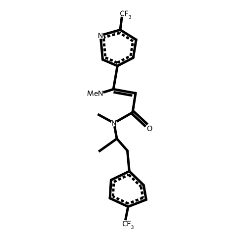 CN/C(=C\C(=O)N(C)C(C)Cc1ccc(C(F)(F)F)cc1)c1ccc(C(F)(F)F)nc1